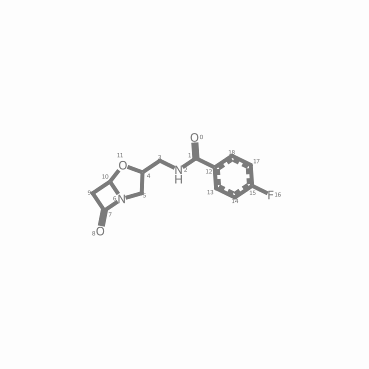 O=C(NCC1CN2C(=O)CC2O1)c1ccc(F)cc1